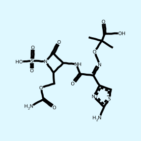 CC(C)(O/N=C(\C(=O)NC1C(=O)N(S(=O)(=O)O)C1COC(N)=O)c1csc(N)n1)C(=O)O